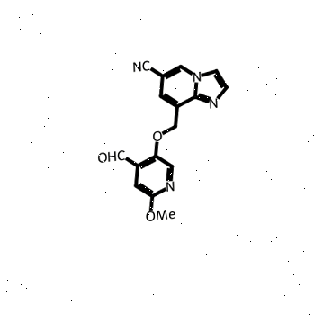 COc1cc(C=O)c(OCc2cc(C#N)cn3ccnc23)cn1